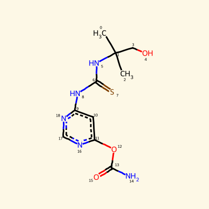 CC(C)(CO)NC(=S)Nc1cc(OC(N)=O)ncn1